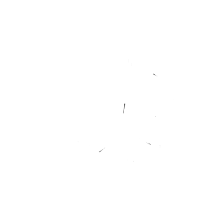 CCc1ccc(Cc2cc([C@@H]3O[C@H](COC(C)=O)[C@@H](OC(C)=O)[C@H](OC(C)=O)[C@H]3OC(C)=O)cc(O[C@H]3CCOC3)c2C)cc1